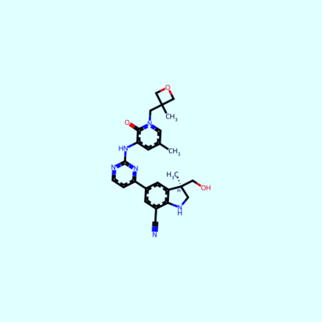 Cc1cc(Nc2nccc(-c3cc(C#N)c4c(c3)[C@@](C)(CO)CN4)n2)c(=O)n(CC2(C)COC2)c1